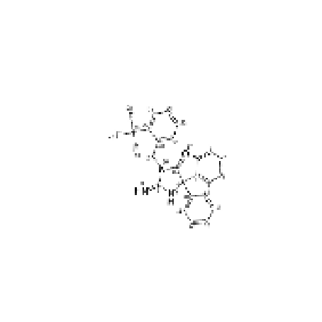 N=C1NC(c2ccccc2)(c2ccccc2)C(=O)N1Cc1ccccc1C(F)(F)F